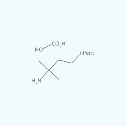 CCCCCCCC(C)(C)N.O=C(O)O